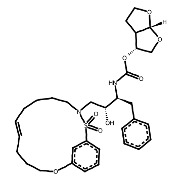 O=C(N[C@@H](Cc1ccccc1)[C@H](O)CN1CCCC/C=C/CCCOc2cccc(c2)S1(=O)=O)O[C@H]1CO[C@H]2OCCC21